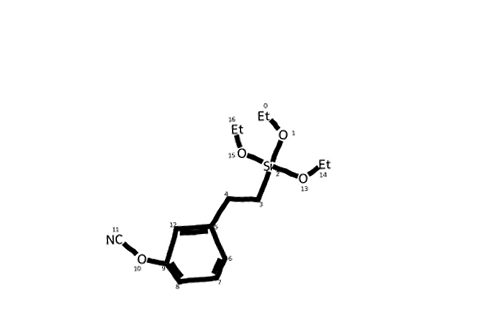 CCO[Si](CCc1cccc(OC#N)c1)(OCC)OCC